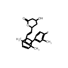 Cc1cc(C2=C(C=CC3CC(O)CC(=O)O3)C3(C)C=CC2(C)CC3)ccc1F